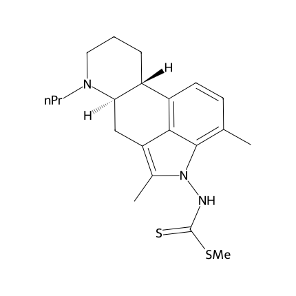 CCCN1CCC[C@@H]2c3ccc(C)c4c3c(c(C)n4NC(=S)SC)C[C@H]21